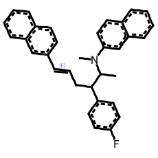 CC(C(C/C=C/c1ccc2ccccc2c1)c1ccc(F)cc1)N(C)c1ccc2ccccc2c1